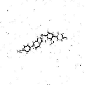 COc1cc(NN2C=C3CN(c4ccc(O)cc4)C=CN3N2)ccc1N1CCN(C)CC1